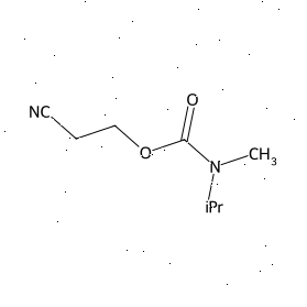 CC(C)N(C)C(=O)OCCC#N